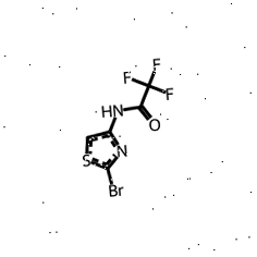 O=C(Nc1csc(Br)n1)C(F)(F)F